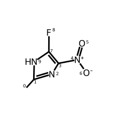 Cc1nc([N+](=O)[O-])c(F)[nH]1